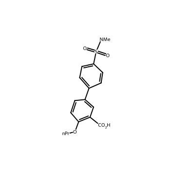 CCCOc1ccc(-c2ccc(S(=O)(=O)NC)cc2)cc1C(=O)O